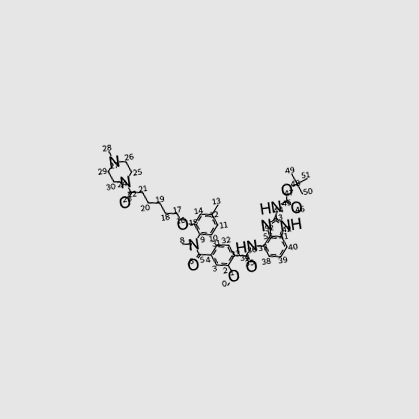 COc1cc(C(=O)N(C)c2ccc(C)cc2OCCCCCC(=O)N2CCN(C)CC2)ccc1C(=O)Nc1cccc2[nH]c(NC(=O)OC(C)(C)C)nc12